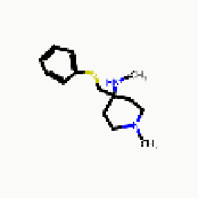 CNC1(CSc2ccccc2)CCN(C)CC1